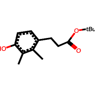 Cc1c(O)ccc(CCC(=O)OC(C)(C)C)c1C